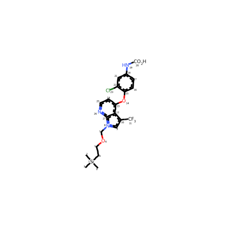 C[Si](C)(C)CCOCn1cc(C(F)(F)F)c2c(Oc3ccc(NC(=O)O)cc3Cl)ccnc21